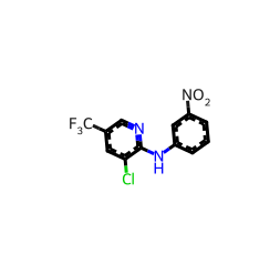 O=[N+]([O-])c1cccc(Nc2ncc(C(F)(F)F)cc2Cl)c1